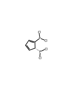 ClP(Cl)C1=CC=C[C@H]1P(Cl)Cl